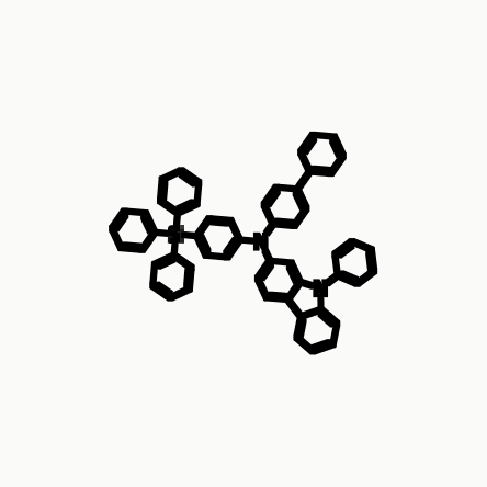 c1ccc(-c2ccc(N(c3ccc([Si](c4ccccc4)(c4ccccc4)c4ccccc4)cc3)c3ccc4c5ccccc5n(-c5ccccc5)c4c3)cc2)cc1